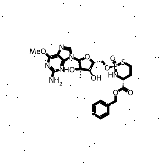 COc1nc(N)nc2c1ncn2C1O[C@H](CO[P@]2(=O)N[C@@H](C(=O)OCc3ccccc3)CCS2)[C@@H](O)[C@@]1(C)O